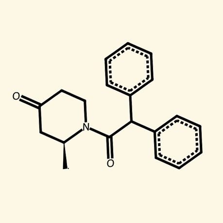 [CH2][C@H]1CC(=O)CCN1C(=O)C(c1ccccc1)c1ccccc1